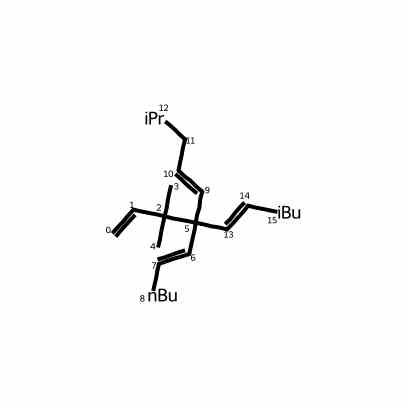 C=CC(C)(C)C(C=CCCCC)(C=CCC(C)C)C=CC(C)CC